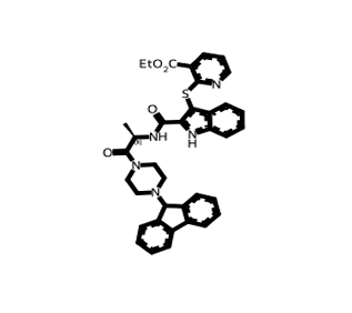 CCOC(=O)c1cccnc1Sc1c(C(=O)N[C@H](C)C(=O)N2CCN(C3c4ccccc4-c4ccccc43)CC2)[nH]c2ccccc12